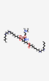 CCCCC/C=C\C/C=C\CCCCCCCC(=O)OCCCC(CCOC(=O)CCCCCCC/C=C\C/C=C\CCCCC)NC(=O)OCCCN(C)CC